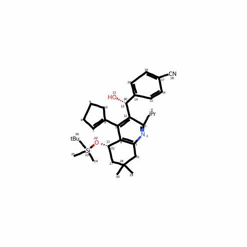 CC(C)c1nc2c(c(C3=CCCC3)c1[C@H](O)c1ccc(C#N)cc1)[C@@H](O[Si](C)(C)C(C)(C)C)CC(C)(C)C2